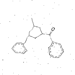 CC1CC(C(=O)c2ccccc2)CC(c2ccccc2)C1